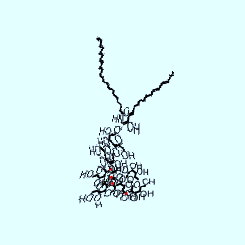 CCCCCCCCCCCCC/C=C/[C@@H](O)[C@H](CO[C@@H]1OC(CO)[C@@H](O[C@@H]2OC(CO)[C@H](O[C@@H]3OC(CO)[C@H](O)[C@H](O[C@@H]4OC(CO)[C@H](O)[C@H](O[C@@H]5OC(CO)[C@@H](O[C@@H]6OC(CO)[C@H](O)[C@H](O)C6O)[C@H](O[C@H]6OC(C)[C@@H](O)C(O)[C@@H]6O)C5NC(C)=O)C4O)C3NC(C)=O)[C@H](O)C2O)[C@H](O)C1O)NC(=O)CCCCCCCCCCCCCCCCCCCCC